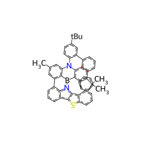 Cc1cc2c3c(c1)N(c1ccc(C(C)(C)C)cc1-c1ccccc1)c1ccc4c(c1B3n1c3c-2cccc3c2sc3ccccc3c21)-c1ccccc1C4(C)C